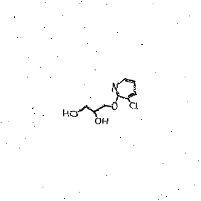 OCC(O)COc1ncccc1Cl